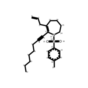 C=CCC1=C(C#CCCCCCC)N(S(=O)(=O)c2ccc(C)cc2)CCCC1